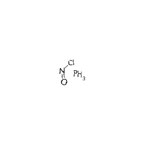 O=NCl.P